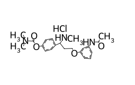 CNC(CCOc1cccc(NC(C)=O)c1)c1ccc(OC(=O)N(C)C)cc1.Cl